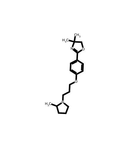 CC1CCCN1CCCOc1ccc(C2=NC(C)(C)CO2)cc1